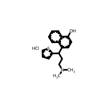 CN(C)CCC(c1cccs1)c1ccc(O)c2ccccc12.Cl